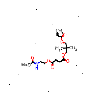 C=CC(=O)OCC(C)(C)COC(=O)CCC(=O)OCCNC(=O)OC